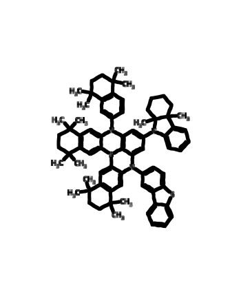 CC1(C)CCC(C)(C)c2cc(N3c4cc5c(cc4B4c6cc7c(cc6N(c6ccc8sc9ccccc9c8c6)c6cc(N8c9ccccc9C9(C)CCCCC89C)cc3c64)C(C)(C)CCC7(C)C)C(C)(C)CCC5(C)C)ccc21